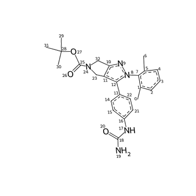 Cc1cccc(C)c1-n1nc2c(c1-c1ccc(NC(N)=O)cc1)CN(C(=O)OC(C)(C)C)C2